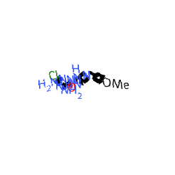 COc1ccc(CN2CCC3(CC2)CN/C(=N\C(=O)c2nc(Cl)c(N)nc2N)N3)cc1